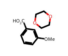 C1COCCO1.COc1cccc(C(=O)O)c1